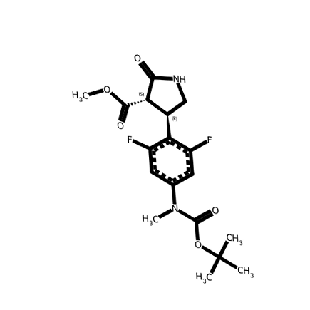 COC(=O)[C@@H]1C(=O)NC[C@H]1c1c(F)cc(N(C)C(=O)OC(C)(C)C)cc1F